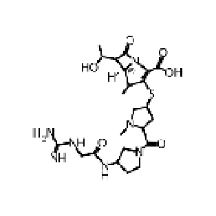 CC(O)C1C(=O)N2C(C(=O)O)=C(SC3CC(C(=O)N4CCC(NC(=O)CNC(=N)N)C4)N(C)C3)C(C)[C@@H]12